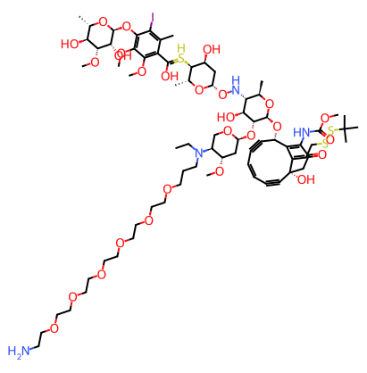 CCN(CCCOCCOCCOCCOCCOCCOCCN)[C@H]1CO[C@@H](O[C@H]2[C@H](O[C@H]3C#CC=CC#C[C@]4(O)CC(=O)C(NC(=O)OC)=C3/C4=C\CSSC(C)(C)C)O[C@H](C)[C@@H](NO[C@H]3C[C@H](O)[C@H]([SH]=C(O)c4c(C)c(I)c(O[C@@H]5O[C@@H](C)[C@H](O)[C@@H](OC)[C@H]5O)c(OC)c4OC)[C@@H](C)O3)[C@@H]2O)C[C@@H]1OC